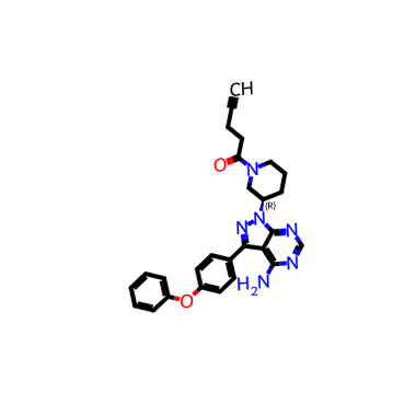 C#CCCC(=O)N1CCC[C@@H](n2nc(-c3ccc(Oc4ccccc4)cc3)c3c(N)ncnc32)C1